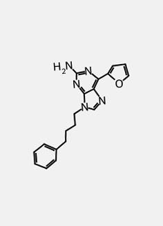 Nc1nc(-c2ccco2)c2ncn(CCCCc3ccccc3)c2n1